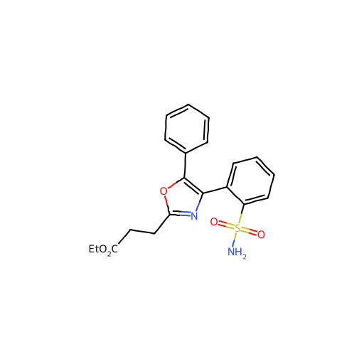 CCOC(=O)CCc1nc(-c2ccccc2S(N)(=O)=O)c(-c2ccccc2)o1